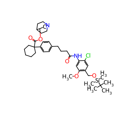 COc1cc(NC(=O)CCCc2ccc(C3(C(=O)OC4CN5CCC4CC5)CCCCC3)cc2)c(Cl)cc1CO[Si](C)(C)C(C)(C)C